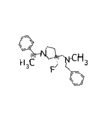 C[C@H](c1ccccc1)N1CC[C@@](CF)(CN(C)Cc2ccccc2)C1